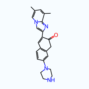 Cc1cc(C)c2nc(C3=Cc4ccc(N5CCNCC5)cc4CC3=O)cn2c1